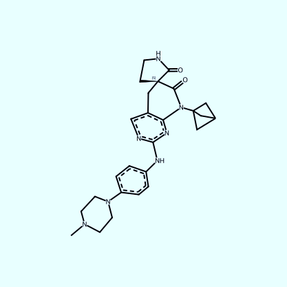 CN1CCN(c2ccc(Nc3ncc4c(n3)N(C35CC(C3)C5)C(=O)[C@]3(CCNC3=O)C4)cc2)CC1